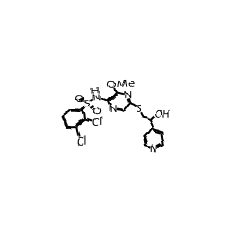 COc1nc(SCC(O)c2ccncc2)cnc1NS(=O)(=O)c1cccc(Cl)c1Cl